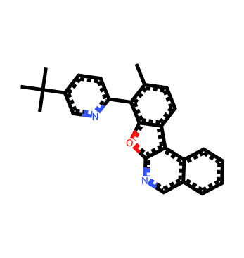 Cc1ccc2c(oc3ncc4ccccc4c32)c1-c1ccc(C(C)(C)C)cn1